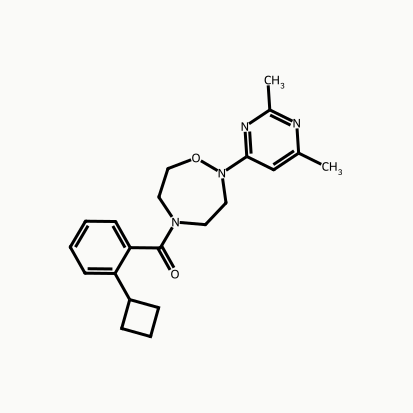 Cc1cc(N2CCN(C(=O)c3ccccc3C3CCC3)CCO2)nc(C)n1